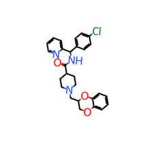 O=C(NC(c1ccc(Cl)cc1)c1ccccn1)C1CCN(CC2COc3ccccc3O2)CC1